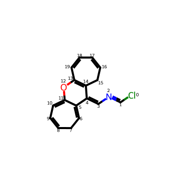 Cl/C=N/C=C1/C2=CCC=CC=C2OC2=C1CC=CC=C2